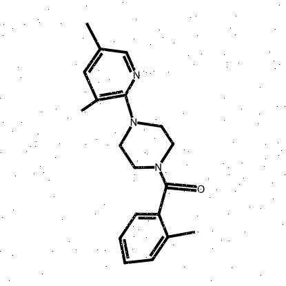 [CH2]c1ccccc1C(=O)N1CCN(c2ncc(C)cc2C)CC1